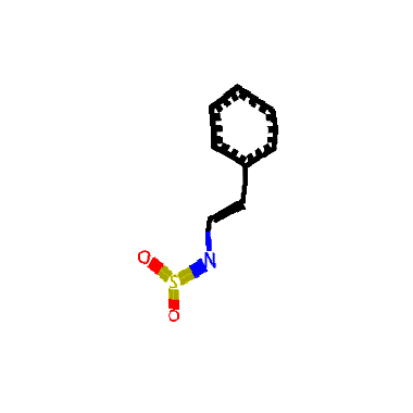 O=S(=O)=NC=Cc1ccccc1